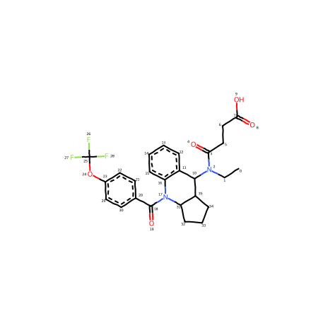 CCN(C(=O)CCC(=O)O)C1c2ccccc2N(C(=O)c2ccc(OC(F)(F)F)cc2)C2CCCC12